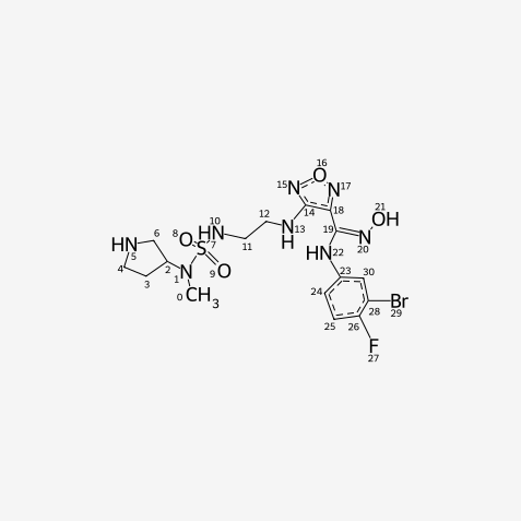 CN(C1CCNC1)S(=O)(=O)NCCNc1nonc1C(=NO)Nc1ccc(F)c(Br)c1